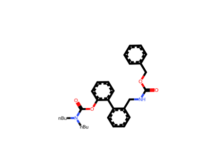 CCCCN(CCCC)C(=O)Oc1ccccc1-c1ccccc1CNC(=O)OCc1ccccc1